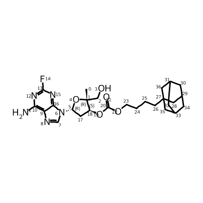 C[C@]1(CO)O[C@@H](n2cnc3c(N)nc(F)nc32)C[C@@H]1OC(=O)OCCCCC12CC3CC(CC(C3)C1)C2